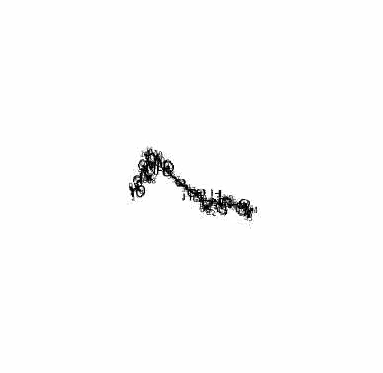 C=C(C)C(=O)OCCN(C(=O)NC1CC(C)(C)CC(C)(CNC(=O)OCCCCOCCCCOC(=O)NCC2(C)CC(NC(=O)N(CCOC(=O)C(=C)C)C(C)(C)C)CC(C)(C)C2)C1)C(C)(C)C